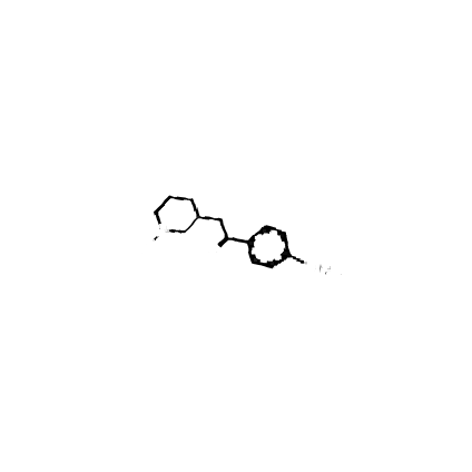 COc1ccc(C(=O)CC2CCCN(C)C2)cc1